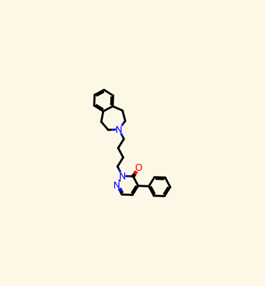 O=c1c(-c2ccccc2)ccnn1CCCCN1CCc2ccccc2CC1